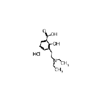 CCN(CC)CCc1cccc(C(=O)O)c1O.Cl